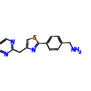 NCc1ccc(-c2nc(Cc3ncccn3)cs2)cc1